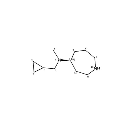 CN(CC1CC1)[C@H]1CCCNCC1